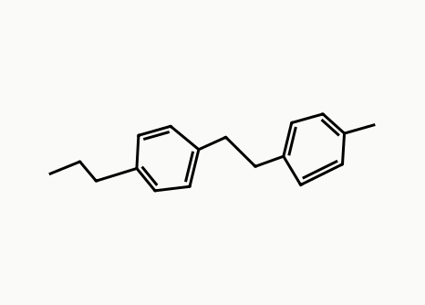 CCCc1ccc(CCc2ccc(C)cc2)cc1